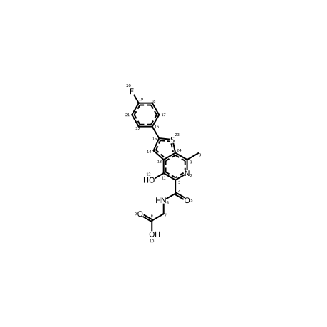 Cc1nc(C(=O)NCC(=O)O)c(O)c2cc(-c3ccc(F)cc3)sc12